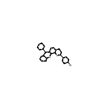 Brc1ccc(-c2ccc3ccc4c(-c5ccccc5)c5ccccc5nc4c3n2)cc1